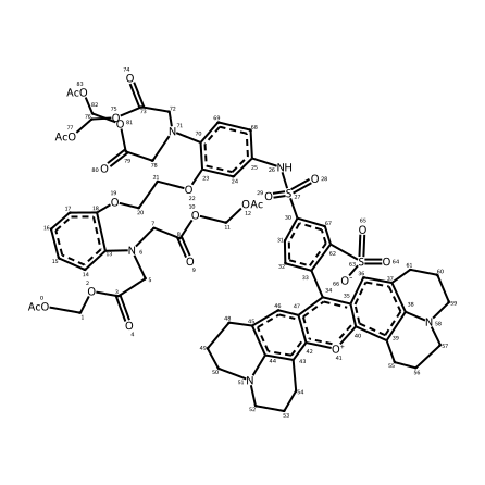 CC(=O)OCOC(=O)CN(CC(=O)OCOC(C)=O)c1ccccc1OCCOc1cc(NS(=O)(=O)c2ccc(-c3c4cc5c6c(c4[o+]c4c7c8c(cc34)CCCN8CCC7)CCCN6CCC5)c(S(=O)(=O)[O-])c2)ccc1N(CC(=O)OCOC(C)=O)CC(=O)OCOC(C)=O